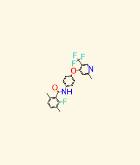 Cc1cc(Oc2ccc(NC(=O)c3c(C)ccc(C)c3F)cc2)c(C(F)(F)F)cn1